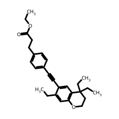 CCOC(=O)CCc1ccc(C#Cc2cc3c(cc2CC)OCCC3(CC)CC)cc1